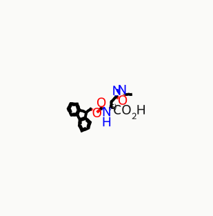 Cc1nnc(C[C@H](NC(=O)OCC2c3ccccc3-c3ccccc32)C(=O)O)o1